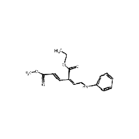 CCOC(=O)C(C=CC(=O)OC)=CCNc1ccccc1